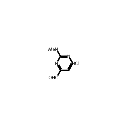 CNc1nccc(C=O)n1.Cl